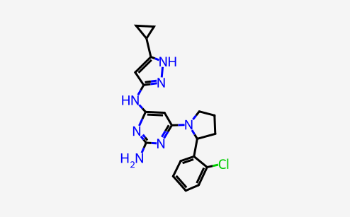 Nc1nc(Nc2cc(C3CC3)[nH]n2)cc(N2CCCC2c2ccccc2Cl)n1